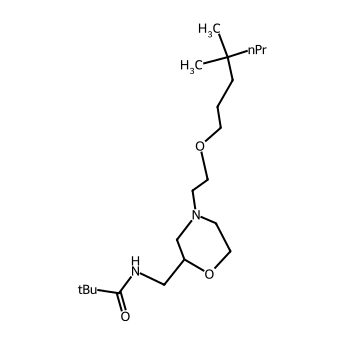 CCCC(C)(C)CCCOCCN1CCOC(CNC(=O)C(C)(C)C)C1